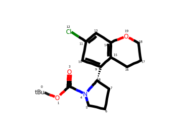 CC(C)(C)OC(=O)N1CCC[C@H]1c1cc(Cl)cc2c1CCCO2